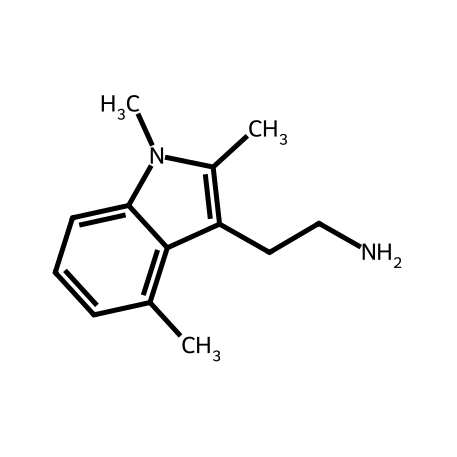 Cc1cccc2c1c(CCN)c(C)n2C